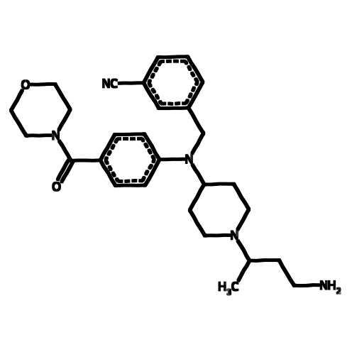 CC(CCN)N1CCC(N(Cc2cccc(C#N)c2)c2ccc(C(=O)N3CCOCC3)cc2)CC1